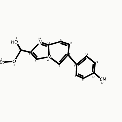 CCOC(O)c1cn2cc(-c3ccc(C#N)cc3)ccc2n1